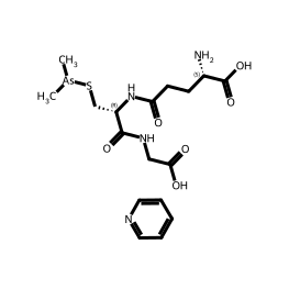 C[As](C)SC[C@H](NC(=O)CC[C@H](N)C(=O)O)C(=O)NCC(=O)O.c1ccncc1